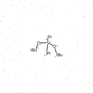 CC(C)[Si](OC(C)(C)C)(OC(C)(C)C)C(C)C